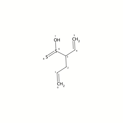 C=CCC(C=C)S(O)=S